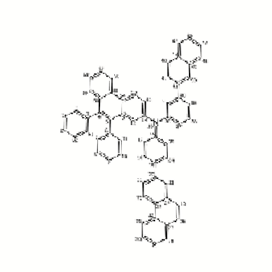 c1ccc(-c2c(-c3ccccc3)c3cc(N(c4ccc(-c5ccc6c(ccc7ccccc76)c5)cc4)c4cccc(-c5ccc6ccccc6c5)c4)ccc3c3ccccc23)cc1